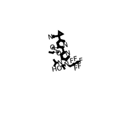 CCS(=O)(=O)c1cc(C2(C#N)CC2)cnc1-c1cc2c(cn1)N(CC(F)(F)C(F)(F)F)C(C)(O)N2C(C)C